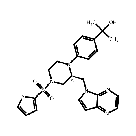 CC(C)(O)c1ccc(N2CCN(S(=O)(=O)c3cccs3)C[C@@H]2Cn2ccc3nccnc32)cc1